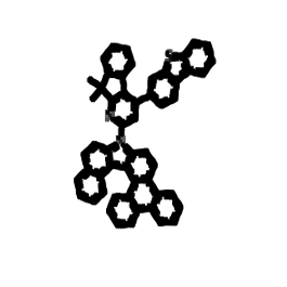 CC1(C)c2ccccc2-c2c(-c3ccc4c(c3)sc3ccccc34)cc(-n3c4ccc5ccccc5c4c4c5c6ccccc6c6ccccc6c5ccc43)nc21